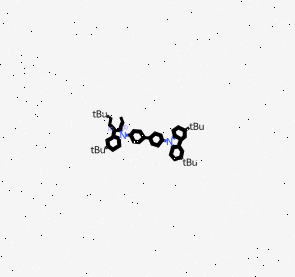 C/C=c1\c(=C/CC(C)(C)C)c2cc(C(C)(C)C)ccc2n1-c1ccc(-c2ccc(-n3c4ccc(C(C)(C)C)cc4c4cc(C(C)(C)C)ccc43)cc2)cc1